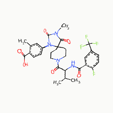 Cc1cc(N2C(=O)N(C)C(=O)C23CCN(C(=O)C(NC(=O)c2cc(C(F)(F)F)ccc2F)C(C)C)CC3)ccc1C(=O)O